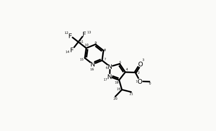 COC(=O)c1cn(-c2ccc(C(F)(F)F)cn2)nc1C(C)C